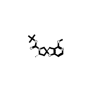 COc1nccc2c1C[C@]1(C[C@H](C)N(C(=O)OC(C)(C)C)C1)O2